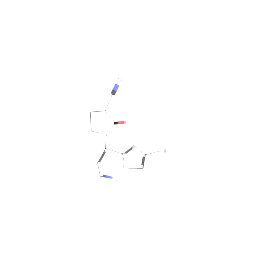 N#CC1CCN(c2ccnn3cc(Br)cc23)C1=O